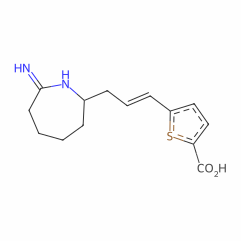 N=C1CCCCC(CC=Cc2ccc(C(=O)O)s2)N1